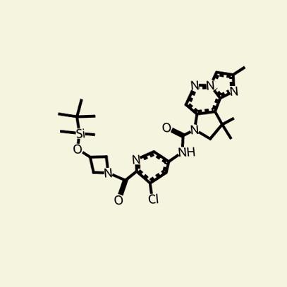 Cc1cn2ncc3c(c2n1)C(C)(C)CN3C(=O)Nc1cnc(C(=O)N2CC(O[Si](C)(C)C(C)(C)C)C2)c(Cl)c1